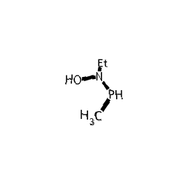 CCN(O)PC